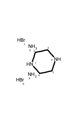 Br.Br.C1CNCCN1.N.N